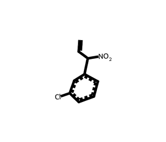 C=CC(c1cccc(Cl)c1)[N+](=O)[O-]